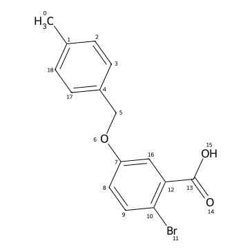 Cc1ccc(COc2ccc(Br)c(C(=O)O)c2)cc1